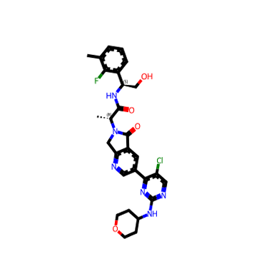 Cc1cccc([C@@H](CO)NC(=O)[C@@H](C)N2Cc3ncc(-c4nc(NC5CCOCC5)ncc4Cl)cc3C2=O)c1F